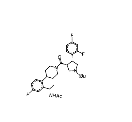 CC(=O)N[C@@H](C)c1cc(F)ccc1C1CCN(C(=O)[C@@H]2CN(C(C)(C)C)C[C@H]2c2ccc(F)cc2F)CC1